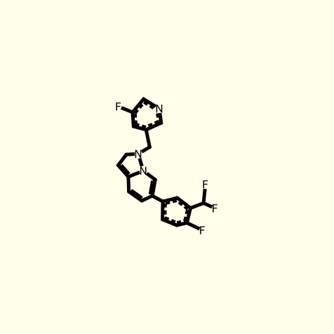 Fc1cncc(CN2CC=C3C=CC(c4ccc(F)c(C(F)F)c4)=CN32)c1